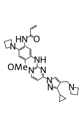 C=CC(=O)Nc1cc(Nc2nccc(-n3cc(CN4CCC4)c(C4CC4)n3)n2)c(OC)cc1N1CCC1